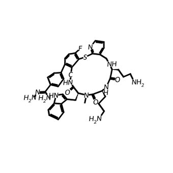 CN1C(=O)[C@H](CCCN)NC(=O)[C@H](CCCN)NCc2cccnc2Sc2c(F)ccc(-c3ccc(/C(N)=N/N)cc3)c2CNC(=O)[C@@H]1Cc1c[nH]c2ccccc12